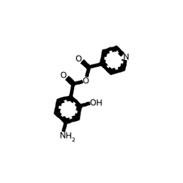 Nc1ccc(C(=O)OC(=O)c2ccncc2)c(O)c1